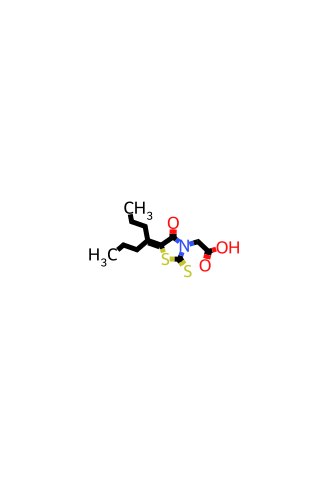 CCCC(CCC)=C1SC(=S)N(CC(=O)O)C1=O